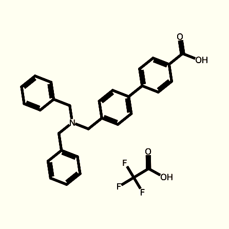 O=C(O)C(F)(F)F.O=C(O)c1ccc(-c2ccc(CN(Cc3ccccc3)Cc3ccccc3)cc2)cc1